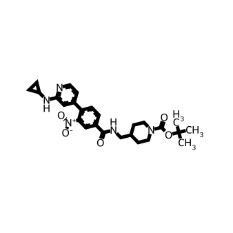 CC(C)(C)OC(=O)N1CCC(CNC(=O)c2ccc(-c3ccnc(NC4CC4)c3)c([N+](=O)[O-])c2)CC1